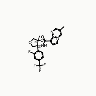 Cc1cnc2c(C(=O)N[C@]3(c4ccc(C(F)(F)F)cc4F)COC[C@]3(C)O)ccn2c1